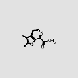 Cc1sc2c(C(N)=O)nccc2c1C